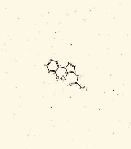 NC(=O)Oc1cnn(-c2ccccc2Cl)c1N